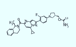 C[C@@H]1c2ccccc2CCN1C(=O)c1cc(C2CC2)n2nc(-c3ccc(N4CC[C@@H](COC(N)=O)C4)cc3F)cc2n1